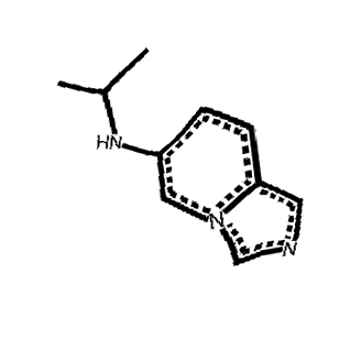 CC(C)Nc1ccc2cncn2c1